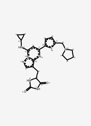 O=C1NC(=O)C(Cc2cnn3c(NC4CC4)cc(-c4ccc(CN5CCCC5)s4)nc23)N1